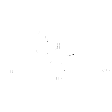 COc1ccc(N(C)C(=O)[C@H](CCc2ccccc2)NC(=O)NS(=O)(=O)Nc2ccc3ncsc3c2)cc1